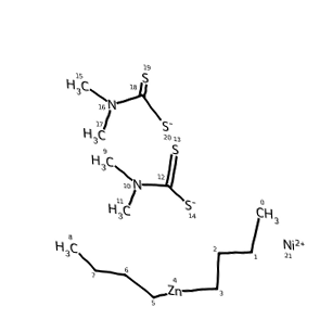 CCC[CH2][Zn][CH2]CCC.CN(C)C(=S)[S-].CN(C)C(=S)[S-].[Ni+2]